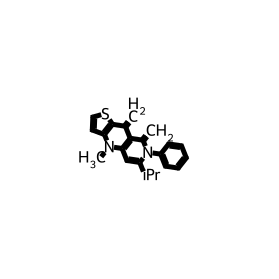 C=C1C2=C(C=C(C(C)C)N(c3ccccc3)C2=C)N(C)c2ccsc21